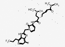 CN(C)C(=O)/C=C/CC[C@@H](CN(C)C(=O)O)C(=O)Nc1cccn(Cc2nc3c(F)cnc(CCC(F)(F)F)c3[nH]2)c1=O